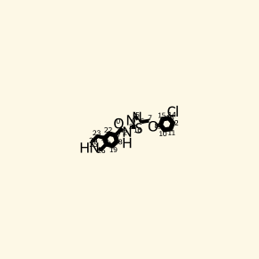 O=C(Nc1nnc(COc2cccc(Cl)c2)s1)c1ccc2c(c1)CCNC2